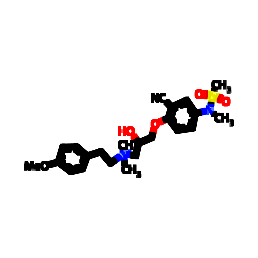 COc1ccc(CC[N+](C)(C)CC(O)COc2ccc(N(C)S(C)(=O)=O)cc2C#N)cc1